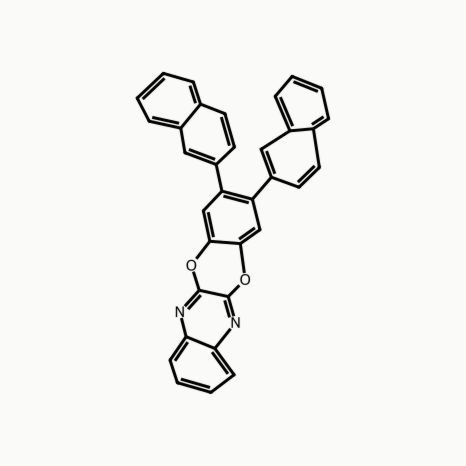 c1ccc2cc(-c3cc4c(cc3-c3ccc5ccccc5c3)Oc3nc5ccccc5nc3O4)ccc2c1